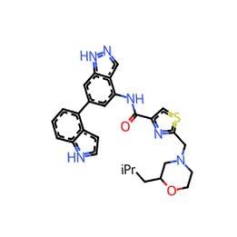 CC(C)CC1CN(Cc2nc(C(=O)Nc3cc(-c4cccc5[nH]ccc45)cc4[nH]ncc34)cs2)CCO1